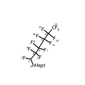 CCCCCCCC(F)C(F)(F)C(F)(F)C(F)(F)C(F)(F)C(F)(F)F